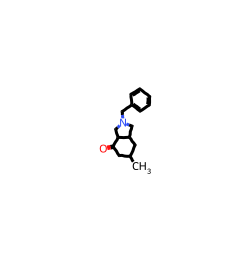 CC1CC(=O)C2CN(Cc3ccccc3)CC2C1